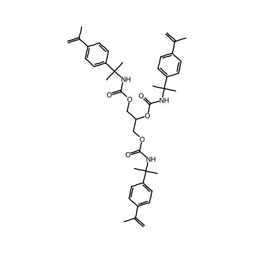 C=C(C)c1ccc(C(C)(C)NC(=O)OCC(COC(=O)NC(C)(C)c2ccc(C(=C)C)cc2)OC(=O)NC(C)(C)c2ccc(C(=C)C)cc2)cc1